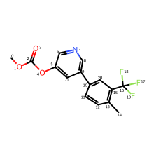 COC(=O)Oc1cncc(-c2ccc(C)c(C(F)(F)F)c2)c1